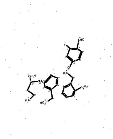 COc1ccccc1CN.NCC[C@H](N)C(=O)O.O=C(O)Cc1ccccc1.O=Cc1ccc(Cl)cc1Cl